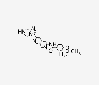 CC(C)Oc1ccc(C(=O)Nc2cc3cc(-c4cnc5n4CCNC5)ncc3cn2)cc1